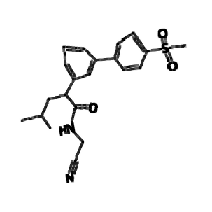 CC(C)CC(C(=O)NCC#N)c1cccc(-c2ccc(S(C)(=O)=O)cc2)c1